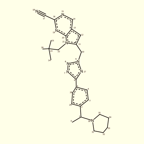 CC(c1ccc(-c2nnn(Cc3cc4cnc(C#N)nc4n3CC(C)(C)C)n2)cc1)N1CCCCC1